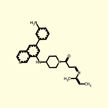 C/C=C(C)\N=C/CC(=O)N1CCC(Nc2cc(-c3cccc(N)c3)cc3ccncc23)CC1